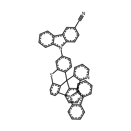 N#Cc1ccc2c(c1)c1ccccc1n2-c1ccc2c(c1)Sc1cccc(-n3c4ccccc4c4ccccc43)c1C21c2cccnc2-c2ncccc21